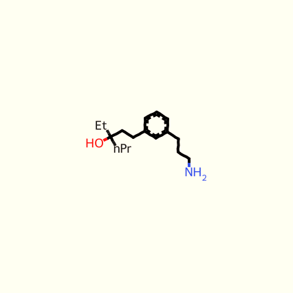 CCCC(O)(CC)CCc1cccc(CCCN)c1